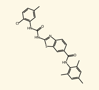 Cc1cc(C)c(NC(=O)c2ccc3nc(NC(=O)Nc4cc(C)ccc4Cl)sc3c2)c(C)c1